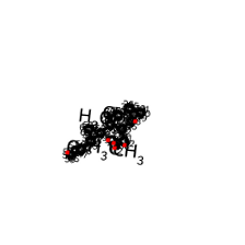 CC1(C)c2ccccc2-c2c(-c3cc(-c4ccc5c6ccccc6c6ccccc6c5c4)cc(-c4cc(-c5ccc6c7ccc(-c8ccc9c(c8)oc8ccccc89)cc7c7ccccc7c6c5)cc5c4-c4ccccc4C5(C)C)c3)cccc21